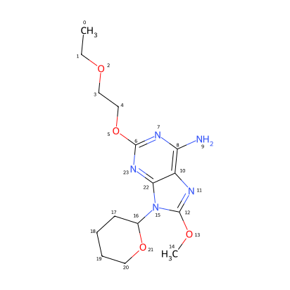 CCOCCOc1nc(N)c2nc(OC)n(C3CCCCO3)c2n1